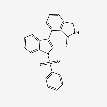 O=C1NCc2cccc(-c3cn(S(=O)(=O)c4ccccc4)c4ccccc34)c21